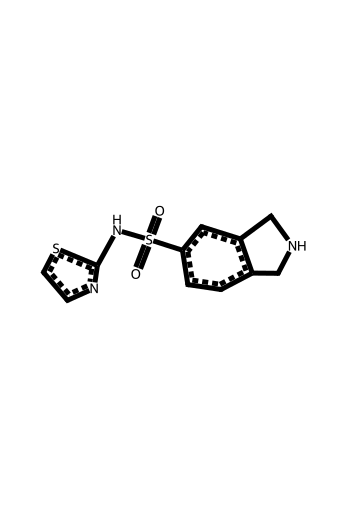 O=S(=O)(Nc1nccs1)c1ccc2c(c1)CNC2